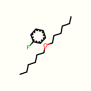 CCCCCCOCCCCCC.Fc1ccccc1